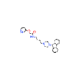 O=C(COc1cccnc1)NCCCCN1CCN(C2c3ccccc3-c3ccccc32)CC1